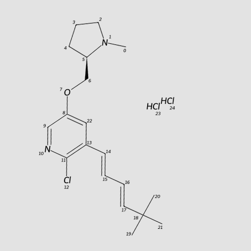 CN1CCC[C@@H]1COc1cnc(Cl)c(C=CC=CC(C)(C)C)c1.Cl.Cl